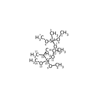 CO[Si](C)(OC)OC.CO[Si](OC)(OC)C(C)C